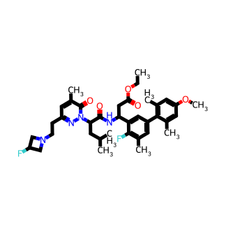 CCOC(=O)CC(NC(=O)C(CC(C)C)n1nc(CCN2CC(F)C2)cc(C)c1=O)c1cc(-c2c(C)cc(OC)cc2C)cc(C)c1F